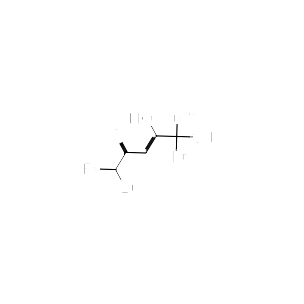 CCCC(C)(CC)/C(O)=C/C(=O)C(CC)CC